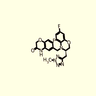 Cn1nnc(C[C@@H]2COc3cc(F)cc(F)c3N2Cc2ccc3c(c2)NC(=O)CO3)n1